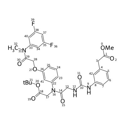 COC(=O)Cc1cccc(NC(=O)NCC(=O)N(CC(=O)OC(C)(C)C)c2cccc(OCC(=O)N(C)c3cc(F)cc(F)c3)c2)c1